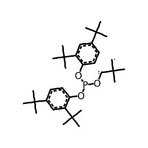 [CH2]C(C)(C)[C]OP(Oc1ccc(C(C)(C)C)cc1C(C)(C)C)Oc1ccc(C(C)(C)C)cc1C(C)(C)C